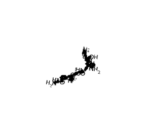 [N-]=[N+]=NCOC1CC(n2cc(C#CCNC(=O)COCCOC(COc3cccc(C(=O)NCCN)c3)N=[N+]=[N-])c3c(N)ncnc32)OC1CO